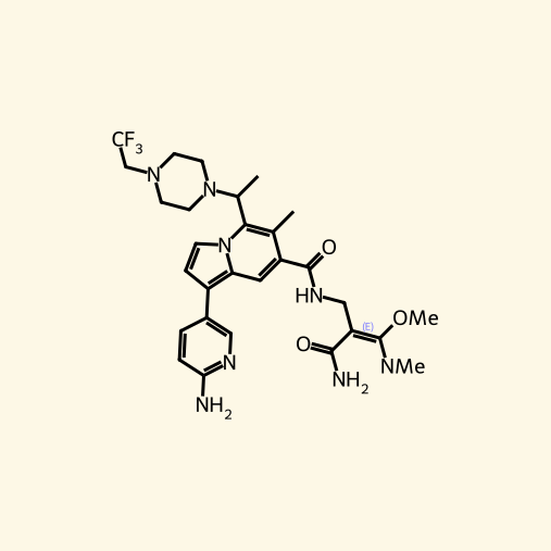 CN/C(OC)=C(/CNC(=O)c1cc2c(-c3ccc(N)nc3)ccn2c(C(C)N2CCN(CC(F)(F)F)CC2)c1C)C(N)=O